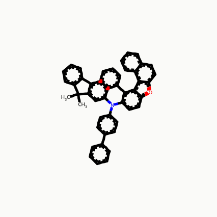 CC1(C)c2ccccc2-c2ccc(N(c3ccc(-c4ccccc4)cc3)c3ccc4oc5ccc6ccccc6c5c4c3-c3ccccc3)cc21